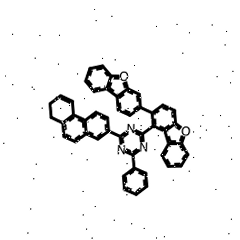 C1=Cc2c(ccc3cc(-c4nc(-c5ccccc5)nc(-c5c(-c6ccc7c(c6)oc6ccccc67)ccc6oc7ccccc7c56)n4)ccc23)CC1